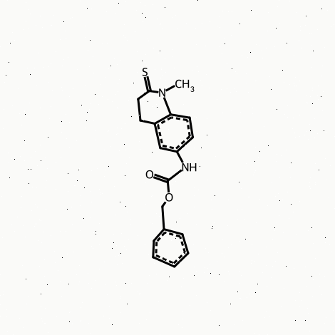 CN1C(=S)CCc2cc(NC(=O)OCc3ccccc3)ccc21